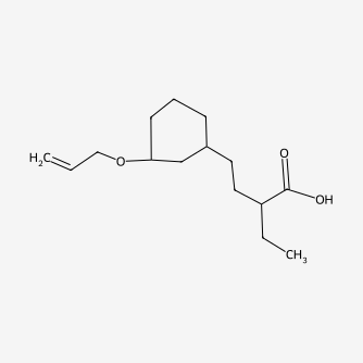 C=CCOC1CCCC(CCC(CC)C(=O)O)C1